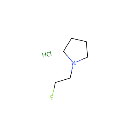 Cl.FCCN1CCCC1